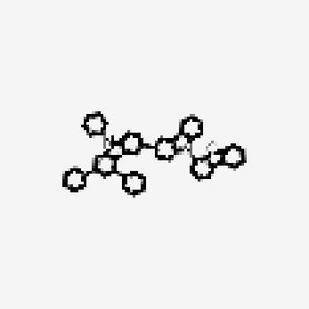 c1ccc(-c2cc(-c3ccccc3)c3c4cc(-c5ccc6c(c5)c5ccccc5n6-c5cccc6c5oc5ccccc56)ccc4n(-c4ccccc4)c3c2)cc1